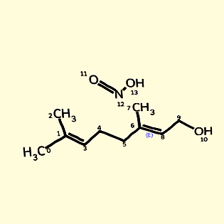 CC(C)=CCC/C(C)=C/CO.O=NO